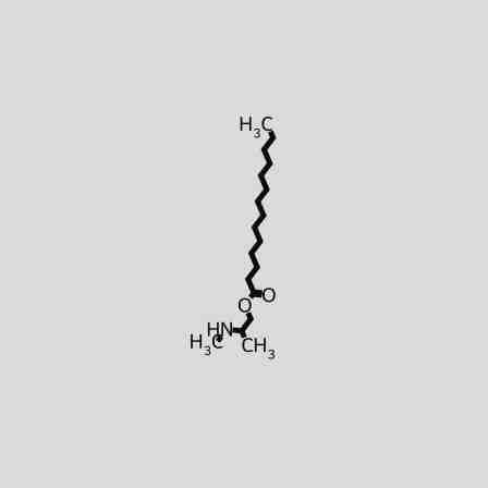 CCCCCCCCCCCCCC(=O)OCC(C)NC